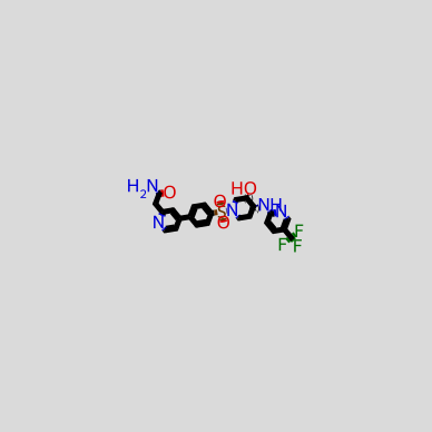 NC(=O)Cc1cc(-c2ccc(S(=O)(=O)N3CC[C@@H](Nc4ccc(C(F)(F)F)cn4)[C@@H](O)C3)cc2)ccn1